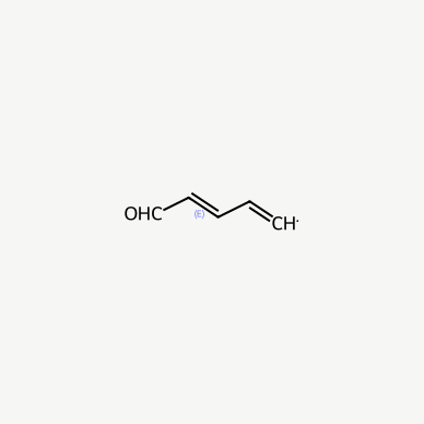 [CH]=C/C=C/C=O